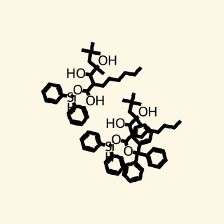 CCCCCCC(C(O)O[SiH](c1ccccc1)c1ccccc1)C(O)C(C)(O)CC(C)(C)C.CCCCCCC(C(O[SiH](c1ccccc1)c1ccccc1)OC(c1ccccc1)(c1ccccc1)c1ccccc1)C(O)C(C)(O)CC(C)(C)C